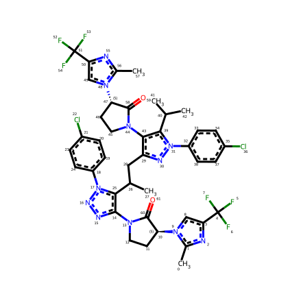 Cc1nc(C(F)(F)F)cn1[C@H]1CCN(c2nnn(-c3ccc(Cl)cc3)c2C(C)Cc2nn(-c3ccc(Cl)cc3)c(C(C)C)c2N2CC[C@H](n3cc(C(F)(F)F)nc3C)C2=O)C1=O